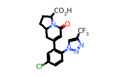 O=C(O)C1CCC2CC(c3cc(Cl)ccc3-n3cc(C(F)(F)F)nn3)=CC(=O)N21